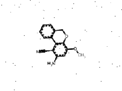 COc1cc(N)c(C#N)c2c1OCc1ccccc1-2